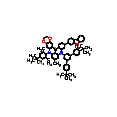 Cc1cc2c3c(c1)N(c1c(C)cc(C(C)(C)C)cc1C)c1cc4c(cc1B3c1ccc(-c3ccc5c(c3)oc3ccccc35)cc1N2c1cc(-c2ccc(C(C)(C)C)cc2)cc(-c2ccc(C(C)(C)C)cc2)c1)OCCO4